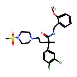 CC(CCN1CCN(S(C)(=O)=O)CC1)(C(=O)NCc1ccccc1OC(F)(F)F)c1ccc(Cl)c(Cl)c1